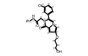 CC(C)NC(=O)Cn1c(-c2cccc(Cl)c2)cn2cc(OCCCO)cc2c1=O